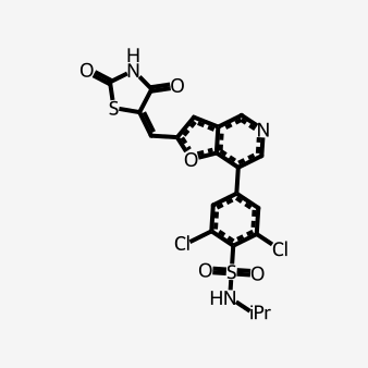 CC(C)NS(=O)(=O)c1c(Cl)cc(-c2cncc3cc(C=C4SC(=O)NC4=O)oc23)cc1Cl